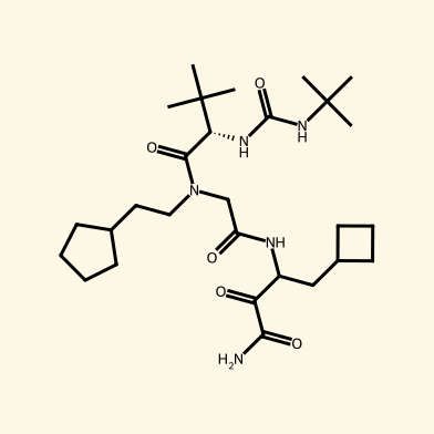 CC(C)(C)NC(=O)N[C@H](C(=O)N(CCC1CCCC1)CC(=O)NC(CC1CCC1)C(=O)C(N)=O)C(C)(C)C